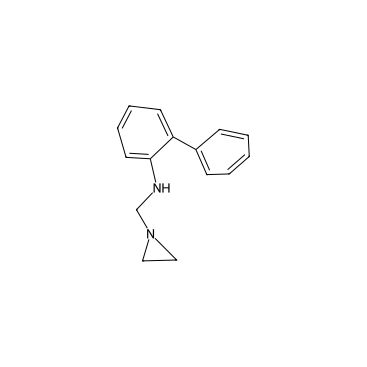 c1ccc(-c2ccccc2NCN2CC2)cc1